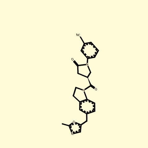 Cc1ncc(Cc2ccc3c(c2)CCN3C(=O)[C@H]2CC(=O)N(c3cccc(C#N)c3)C2)o1